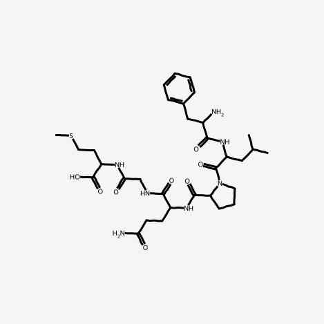 CSCCC(NC(=O)CNC(=O)C(CCC(N)=O)NC(=O)C1CCCN1C(=O)C(CC(C)C)NC(=O)C(N)Cc1ccccc1)C(=O)O